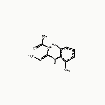 C/N=C(\NC(N)=O)Nc1c(C)cccc1C